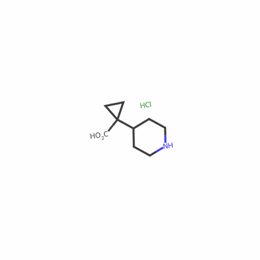 Cl.O=C(O)C1(C2CCNCC2)CC1